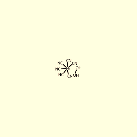 N#[C][Fe]([C]#N)([C]#N)([C]#N)([C]#N)[C]#N.OO